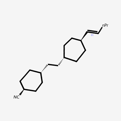 CCC/C=C/[C@H]1CC[C@H](CC[C@H]2CC[C@H](C#N)CC2)CC1